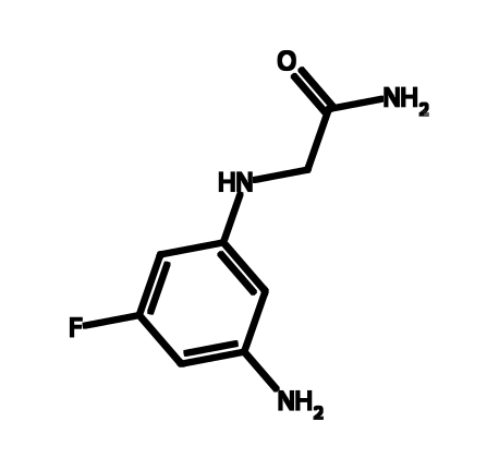 NC(=O)CNc1cc(N)cc(F)c1